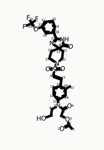 CC(=O)OCC(=O)N(CCO)c1ccc(/C=C/S(=O)(=O)N2CCC3(CC2)N=C(c2cccc(OC(F)(F)F)c2)NC3=O)c(C)c1